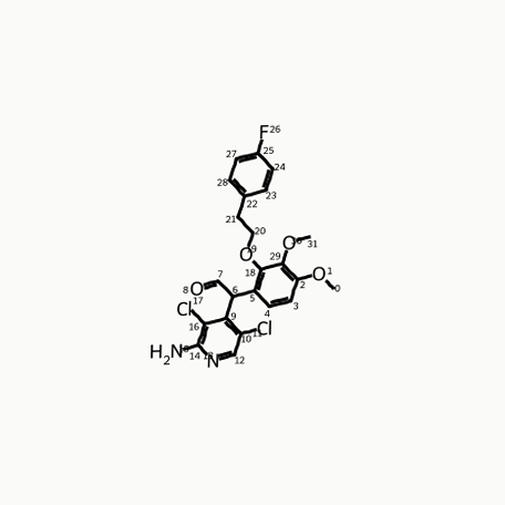 COc1ccc(C(C=O)c2c(Cl)cnc(N)c2Cl)c(OCCc2ccc(F)cc2)c1OC